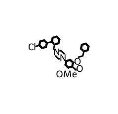 COC(=O)c1ccc(N2CCN(Cc3ccccc3-c3ccc(Cl)cc3)CC2)cc1OCCc1ccccc1